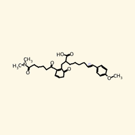 COc1ccc(/C=C/CCCCC(CC2=C(C(=O)CCCCC(=O)N(C)C)C=CCC2=O)C(=O)O)cc1